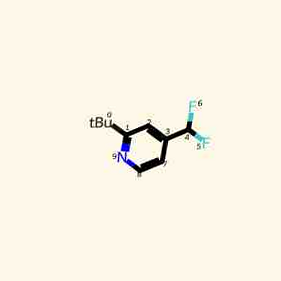 CC(C)(C)c1cc(C(F)F)c[c]n1